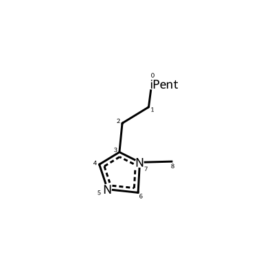 CCCC(C)CCc1cncn1C